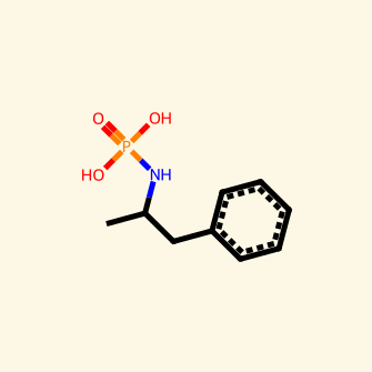 CC(Cc1ccccc1)NP(=O)(O)O